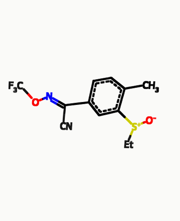 CC[S+]([O-])c1cc(/C(C#N)=N/OC(F)(F)F)ccc1C